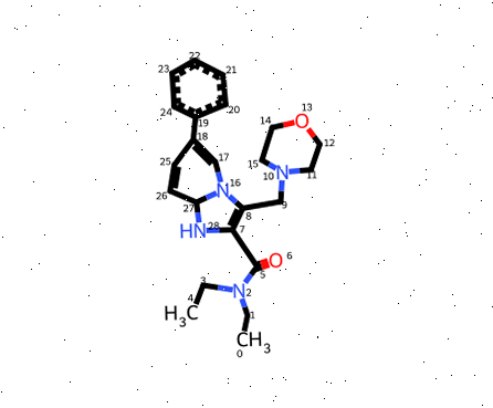 CCN(CC)C(=O)C1=C(CN2CCOCC2)N2C=C(c3ccccc3)C=CC2N1